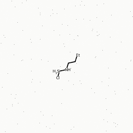 CCCCN[SiH2]Cl